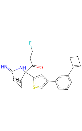 CC(=N)NC(C(=O)CCF)(c1cc(-c2cccc(C3=CCC3)c2)cs1)C1CC1